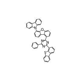 c1ccc(-c2nc(-c3cccc4c3sc3ccccc34)nc(-c3cccc4oc5c(-n6c7ccccc7c7ccccc76)cccc5c34)n2)cc1